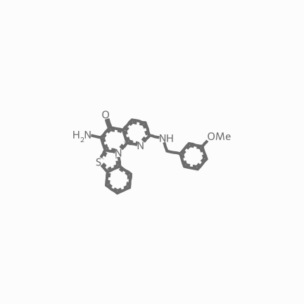 COc1cccc(CNc2ccc3c(=O)c(N)c4sc5ccccc5n4c3n2)c1